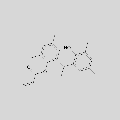 C=CC(=O)Oc1c(C)cc(C)cc1C(C)c1cc(C)cc(C)c1O